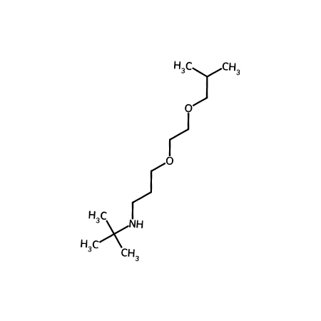 CC(C)COCCOCCCNC(C)(C)C